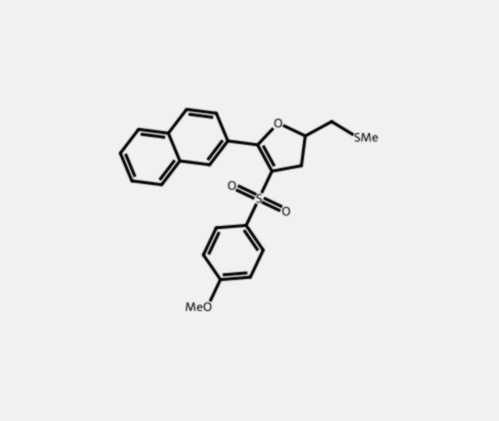 COc1ccc(S(=O)(=O)C2=C(c3ccc4ccccc4c3)OC(CSC)C2)cc1